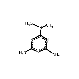 CN(C)c1nc(N)nc(N)n1